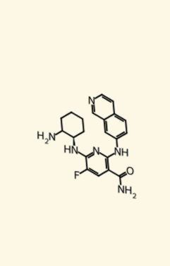 NC(=O)c1cc(F)c(N[C@@H]2CCCCC2N)nc1Nc1ccc2ccncc2c1